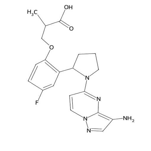 CC(COc1ccc(F)cc1C1CCCN1c1ccn2ncc(N)c2n1)C(=O)O